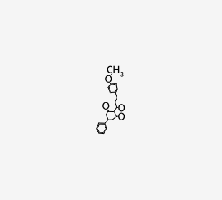 CCOc1ccc(CCC(=O)C2C(=O)CC(c3ccccc3)CC2=O)cc1